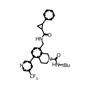 CC(C)(C)NC(=O)N1CCc2c(-c3cncc(C(F)(F)F)c3)ccc(CNC(=O)C3CC3c3ccccc3)c2C1